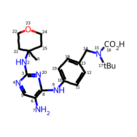 CC1(Nc2ncc(N)c(Nc3ccc(CN(C(=O)O)C(C)(C)C)cc3)n2)CCOCC1